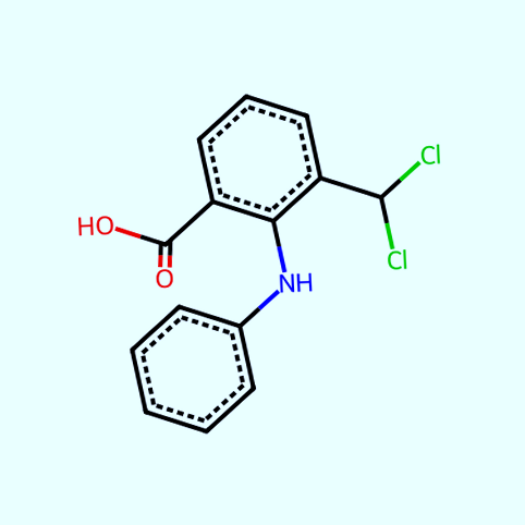 O=C(O)c1cccc(C(Cl)Cl)c1Nc1ccccc1